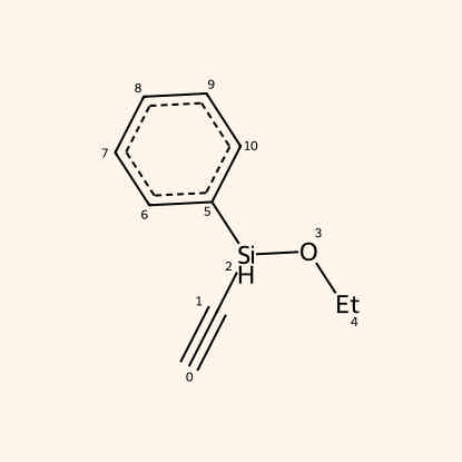 C#C[SiH](OCC)c1ccccc1